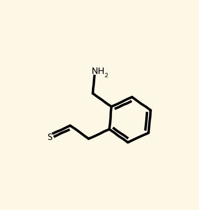 NCc1ccccc1CC=S